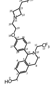 OCc1ccc2c(c1)CCN(CC(F)(F)F)C2c1ccc(OCCN2CC(CF)C2)cc1